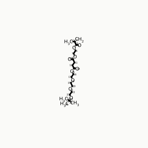 C=C(C)C(=O)OCCOC(=O)CCC(=O)OCCOCCOCCOC(C)(C)C